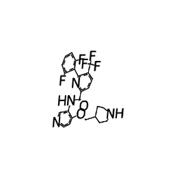 O=C(Nc1cnccc1OCC1CCNCC1)c1ccc(C(F)(F)F)c(-c2c(F)cccc2F)n1